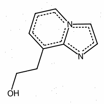 OCCc1cccn2ccnc12